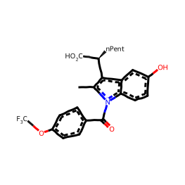 CCCCC[C@H](C(=O)O)c1c(C)n(C(=O)c2ccc(OC(F)(F)F)cc2)c2ccc(O)cc12